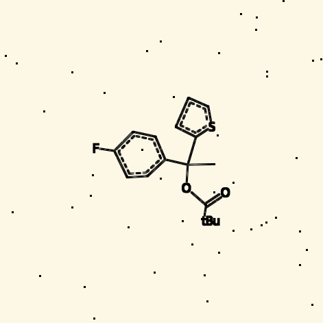 CC(C)(C)C(=O)OC(C)(c1ccc(F)cc1)c1cccs1